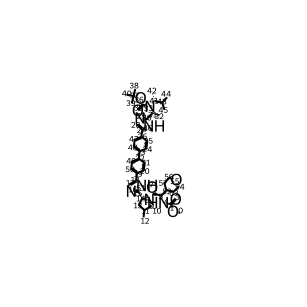 COC(=O)N[C@H](C(=O)N1[C@H](C)C(C)C[C@H]1c1ncc(-c2ccc(-c3ccc(-c4cnc([C@H](C)N(C(=O)OC(C)(C)C)[C@H](C)C(C)C)[nH]4)cc3)cc2)[nH]1)C1CCOCC1